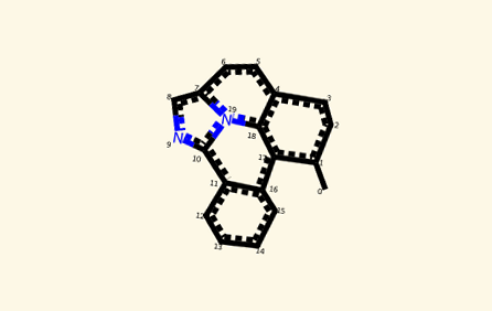 Cc1ccc2ccc3cnc4c5ccccc5c1c2n34